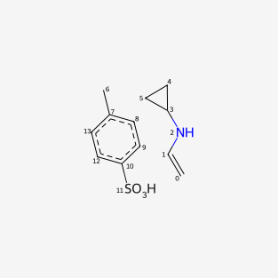 C=CNC1CC1.Cc1ccc(S(=O)(=O)O)cc1